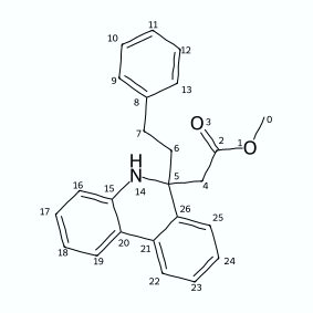 COC(=O)CC1(CCc2ccccc2)Nc2ccccc2-c2ccccc21